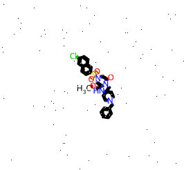 COCC12CN(S(=O)(=O)c3ccc4cc(Cl)ccc4c3)CC(=O)N1CC1(CCN(Cc3ccccc3)CC1)N2